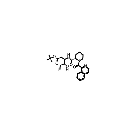 CC(C)(C)OC(=O)CC(NC(=O)[C@@H]1CCCCN1C(=O)c1nccc2ccccc12)C(O)CF